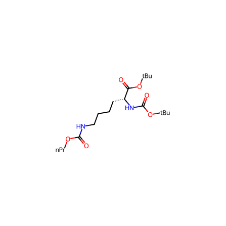 CCCOC(=O)NCCCC[C@@H](NC(=O)OC(C)(C)C)C(=O)OC(C)(C)C